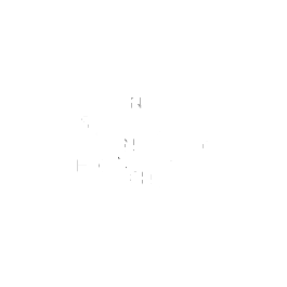 CN(C)N1c2ccc(F)cc2C=NCC1C=S